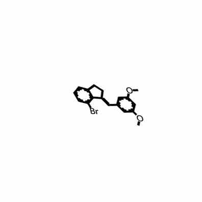 COc1cc(/C=C2\CCc3cccc(Br)c32)cc(OC)c1